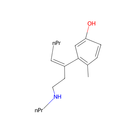 CCC/C=C(/CCNCCC)c1cc(O)ccc1C